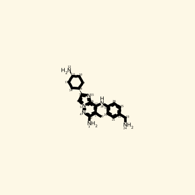 Cc1c(N)nn2cc([C@H]3CC[C@@H](N)CC3)nc2c1Nc1ccc(CN)cc1